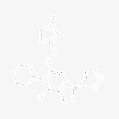 Cn1cnc(COc2nn3c(-c4cccs4)nnc3c(Cl)c2N2CCOCC2)n1